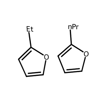 CCCc1ccco1.CCc1ccco1